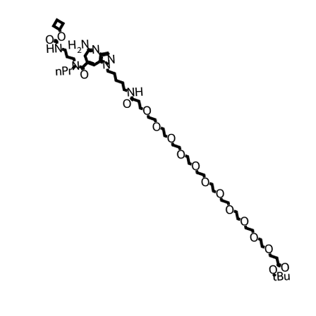 CCCN(CCCNC(=O)OC1CCC1)C(=O)C1=Cc2c(cnn2CCCCCNC(=O)CCOCCOCCOCCOCCOCCOCCOCCOCCOCCOCCOCCC(=O)OC(C)(C)C)N=C(N)C1